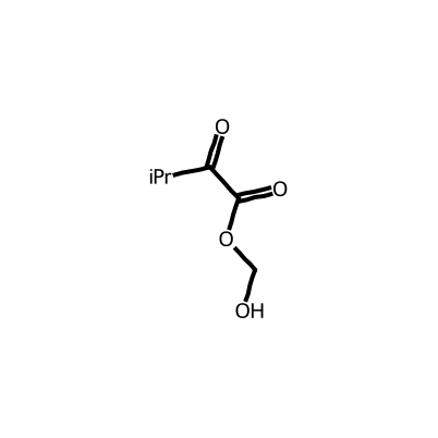 CC(C)C(=O)C(=O)OCO